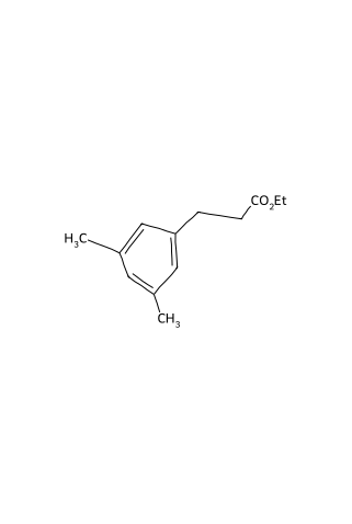 CCOC(=O)CCc1cc(C)cc(C)c1